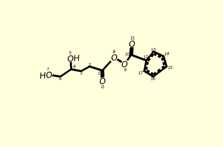 O=C(CCC(O)CO)OOC(=O)c1ccccc1